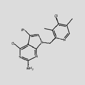 Cc1cnc(Cn2cc(C(C)C)c3c(Cl)nc(N)nc32)c(C)c1Cl